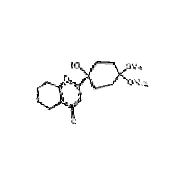 COC1(OC)CCC(O)(c2cc(=O)c3c(o2)CCCC3)CC1